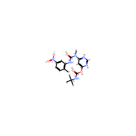 Cc1ccc([N+](=O)[O-])cc1NC(=O)N(C)c1cc(OC(=O)NC(C)(C)C)ncn1